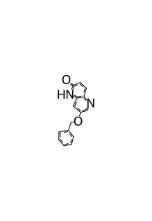 O=c1ccc2ncc(OCc3ccccc3)cc2[nH]1